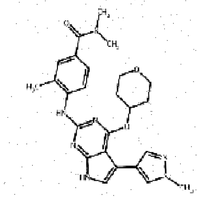 Cc1cc(C(=O)N(C)C)ccc1Nc1nc(OC2CCOCC2)c2c(-c3cnn(C)c3)c[nH]c2n1